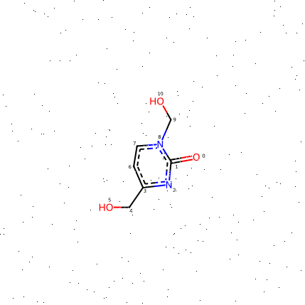 O=c1nc(CO)ccn1CO